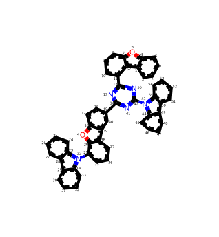 c1ccc2c(c1)oc1cccc(-c3nc(-c4ccc5oc6c(-n7c8ccccc8c8ccccc87)cccc6c5c4)nc(-n4c5ccccc5c5ccccc54)n3)c12